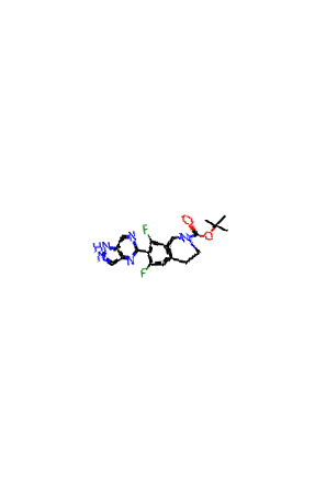 CC(C)(C)OC(=O)N1CCc2cc(F)c(-c3ncc4[nH]ncc4n3)c(F)c2C1